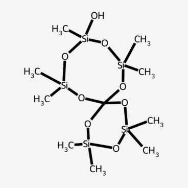 C[Si]1(C)OC2(O[Si](C)(C)O1)O[Si](C)(C)O[Si](C)(O)O[Si](C)(C)O2